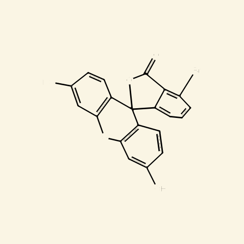 O=C1OC2(c3ccc(O)cc3Oc3cc(O)ccc32)c2cccc(Br)c21